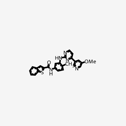 COc1cncc(-c2ccnc(Nc3cc(NC(=O)c4cc5ccccc5s4)ccc3C)n2)c1